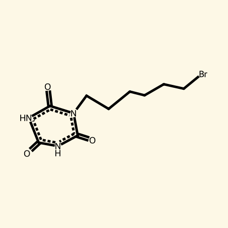 O=c1[nH]c(=O)n(CCCCCCBr)c(=O)[nH]1